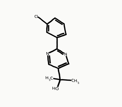 CC(C)(O)c1cnc(-c2cccc(Cl)c2)nc1